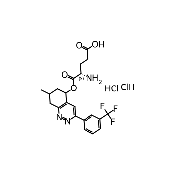 CC1Cc2nnc(-c3cccc(C(F)(F)F)c3)cc2C(OC(=O)[C@@H](N)CCC(=O)O)C1.Cl.Cl